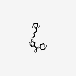 O=C(c1cnn(OCCCC2OCCO2)c1)N1CCOCC1